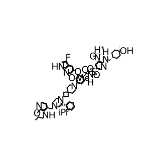 COc1nc2[nH]cc(F)c2cc1Oc1cc(N2CCC3(CC2)CC(N2CCN(Cc4ccnc5c4NCC(C)O5)C[C@H]2c2ccccc2C(C)C)C3)ccc1C(=O)NS(=O)(=O)c1cnc(NC[C@H]2CC[C@](C)(O)CC2)c([NH+](C)[O-])c1